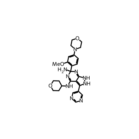 COc1cc(N2CCOCC2)ccc1C1(N)N=C2NNC(c3cncnc3)=C2C(NC2CCOCC2)=N1